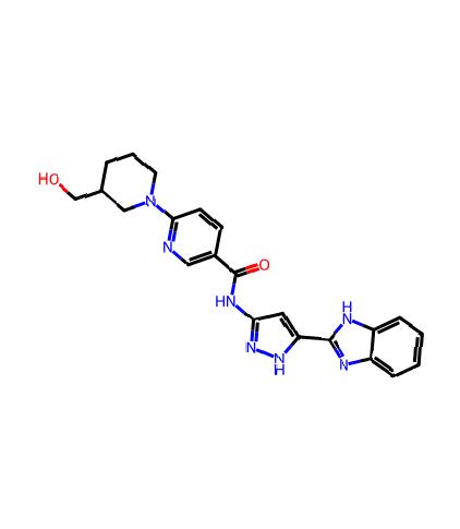 O=C(Nc1cc(-c2nc3ccccc3[nH]2)[nH]n1)c1ccc(N2CCCC(CO)C2)nc1